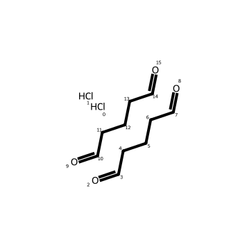 Cl.Cl.O=CCCCC=O.O=CCCCC=O